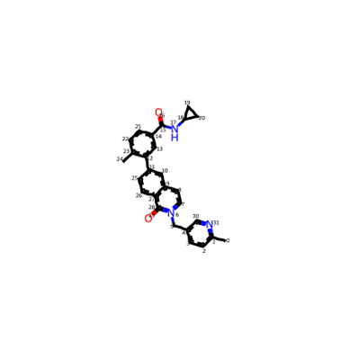 Cc1ccc(Cn2ccc3cc(-c4cc(C(=O)NC5CC5)ccc4C)ccc3c2=O)cn1